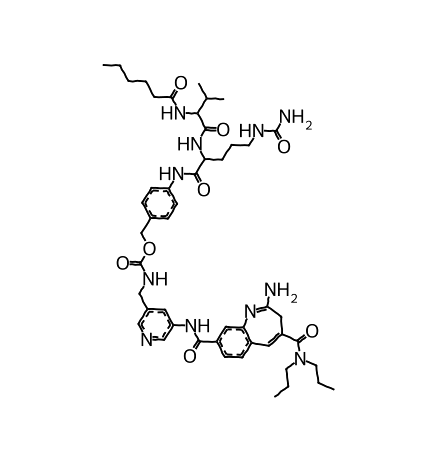 CCCCCC(=O)NC(C(=O)NC(CCCNC(N)=O)C(=O)Nc1ccc(COC(=O)NCc2cncc(NC(=O)c3ccc4c(c3)N=C(N)CC(C(=O)N(CCC)CCC)=C4)c2)cc1)C(C)C